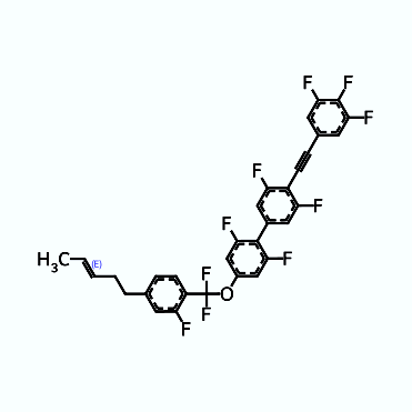 C/C=C/CCc1ccc(C(F)(F)Oc2cc(F)c(-c3cc(F)c(C#Cc4cc(F)c(F)c(F)c4)c(F)c3)c(F)c2)c(F)c1